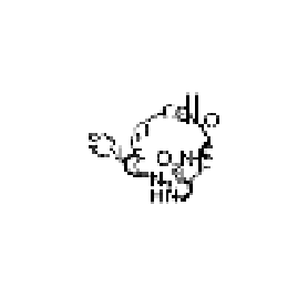 O=C1NCCCCOCc2cc(ccc2N2CCSCC2)Nc2nccc(n2)-c2ccc1cc2[N+](=O)[O-]